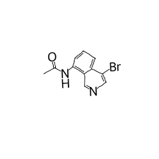 CC(=O)Nc1cccc2c(Br)cncc12